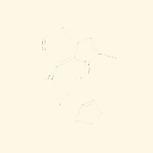 Cc1cc2cccc(N(C)S(=O)(=O)c3cccs3)c2[nH]1